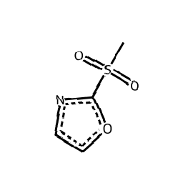 CS(=O)(=O)c1ncco1